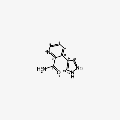 NC(=O)c1ncccc1-c1cn[nH]c1